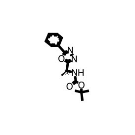 C[C@H](NC(=O)OC(C)(C)C)c1nnc(-c2ccccc2)o1